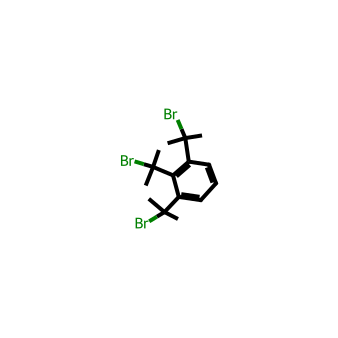 CC(C)(Br)c1cccc(C(C)(C)Br)c1C(C)(C)Br